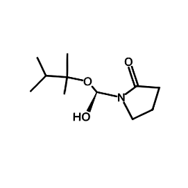 CC(C)C(C)(C)O[C@H](O)N1CCCC1=O